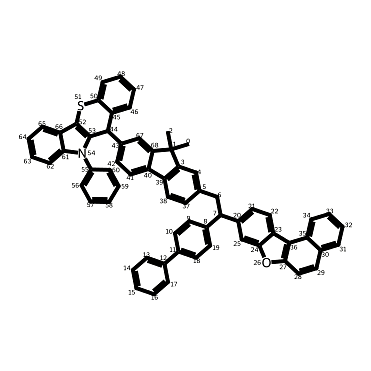 CC1(C)c2cc(CC(c3ccc(-c4ccccc4)cc3)c3ccc4c(c3)oc3ccc5ccccc5c34)ccc2-c2ccc(C3c4ccccc4Sc4c3n(-c3ccccc3)c3ccccc43)cc21